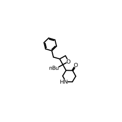 CCCCC1(C2CNCCC2=O)OCC1Cc1ccccc1